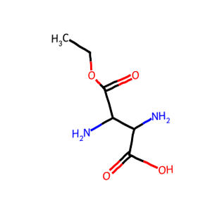 CCOC(=O)C(N)C(N)C(=O)O